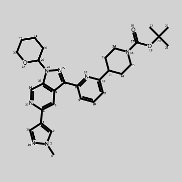 Cn1cc(-c2cc3c(-c4cccc(C5CCN(C(=O)OC(C)(C)C)CC5)n4)nn(C4CCCCO4)c3cn2)cn1